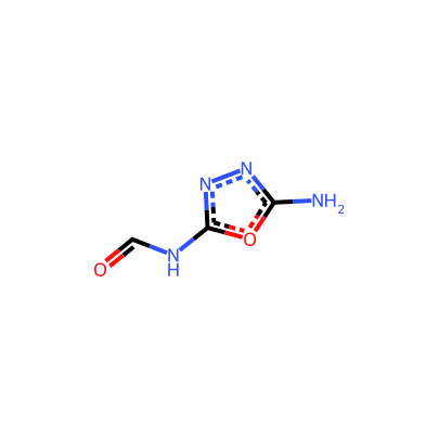 Nc1nnc(NC=O)o1